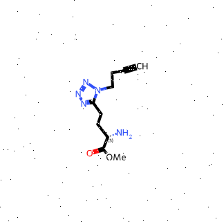 C#CCCn1nnnc1CC[C@H](N)C(=O)OC